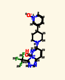 [O-][n+]1cccc(C2CCN(C3=N[N+]4(O)C(=NN=C4C(F)(F)F)C=C3)CC2)c1